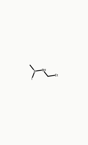 CCCBB(C)I